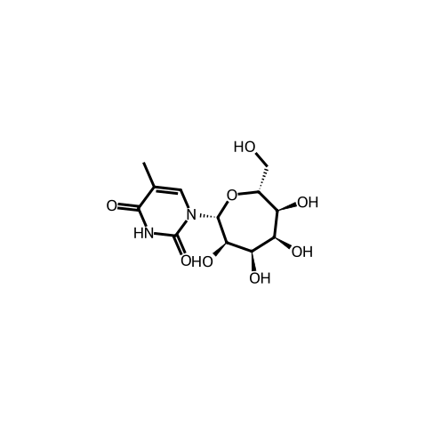 Cc1cn([C@@H]2O[C@H](CO)[C@@H](O)[C@@H](O)[C@@H](O)[C@H]2O)c(=O)[nH]c1=O